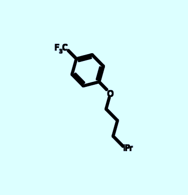 CC(C)CCCOc1ccc(C(F)(F)F)cc1